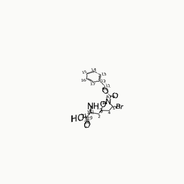 N[C@@H](CC1CC(Br)N(C(=O)OCc2ccccc2)O1)C(=O)O